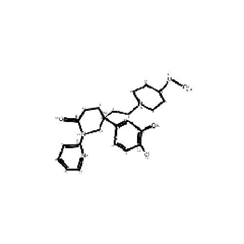 COC1CCN(CC[C@]2(c3ccc(Cl)c(Cl)c3)CCC(=O)N(c3ccccn3)C2)CC1